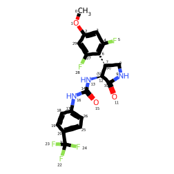 COc1cc(F)c([C@@H]2CNC(=O)[C@H]2NC(=O)Nc2ccc(C(F)(F)F)cc2)c(F)c1